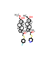 C#CC1(O)CC[C@@]2(C)C(CC[C@H]3[C@@H]4CC[C@H](C(=O)CSc5ccncc5)[C@@]4(C)CC[C@@H]32)C1.COCC1(O)CC[C@@]2(C)C(CC[C@H]3[C@@H]4CC[C@H](C(=O)CSc5ccc(F)cc5)[C@@]4(C)CC[C@@H]32)C1